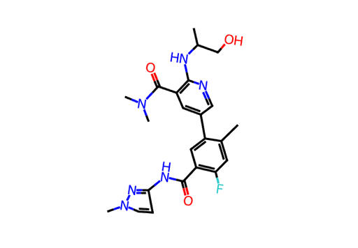 Cc1cc(F)c(C(=O)Nc2ccn(C)n2)cc1-c1cnc(NC(C)CO)c(C(=O)N(C)C)c1